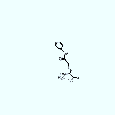 CNC(CSCC(=O)Nc1ccccc1)C(C)=O